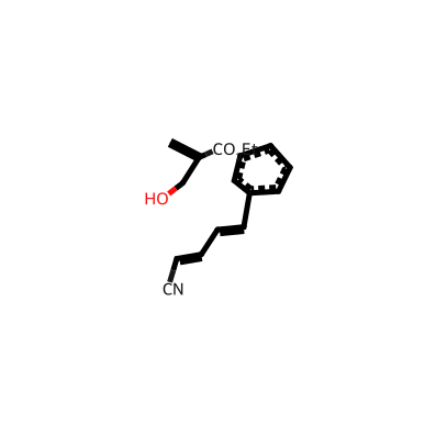 C=C(CO)C(=O)OCC.N#CC=CC=Cc1ccccc1